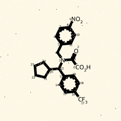 O=C(O)C(=O)N(Cc1ccc([N+](=O)[O-])cc1)C(c1ccc(C(F)(F)F)cc1)C1CCCC1